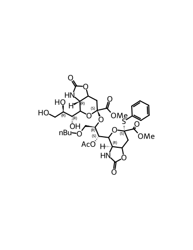 CCCCOC[C@@H](O[C@]1(C(=O)OC)CC2OC(=O)N[C@H]2C([C@H](O)[C@H](O)CO)O1)[C@@H](OC(C)=O)C1O[C@@](Sc2ccccc2)(C(=O)OC)CC2OC(=O)N[C@H]21